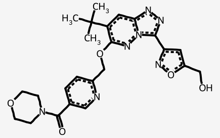 CC(C)(C)c1cc2nnc(-c3cc(CO)on3)n2nc1OCc1ccc(C(=O)N2CCOCC2)cn1